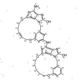 Nc1nc2nc3c1nc(O)n3Cc1cc(cc(Nc3nc4nc5c3nc(O)n5Cc3cccc(c3)OCCCCCO4)n1)OC/C=C\CCO2